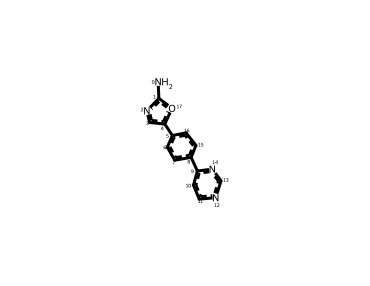 Nc1ncc(-c2ccc(-c3ccncn3)cc2)o1